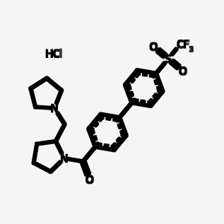 Cl.O=C(c1ccc(-c2ccc(S(=O)(=O)C(F)(F)F)cc2)cc1)N1CCCC1CN1CCCC1